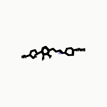 CCCCCC1=CCC(/C=C/CCc2ccc(C3CCC(CCC)CC3)c(F)c2F)CC1